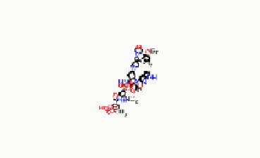 CC(C)Oc1ccccc1[C@@H]1COCCN1[C@@H]1CC2(CCN(c3ccc(C(=O)NS(=O)(=O)c4cc5c(c([N+](=O)[O-])c4)N[C@@H](C4CCC(C)(OP(=O)(O)O)CC4)CO5)c(N4c5cc6cc[nH]c6nc5O[C@H]5COCC[C@@H]54)c3)CC2)[C@@H]1C